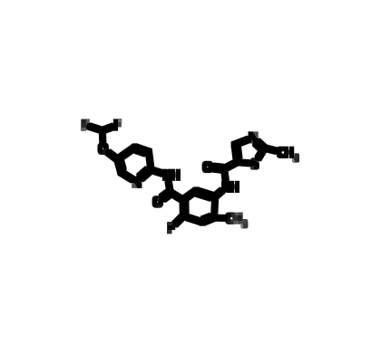 Cc1ncc(C(=O)Nc2cc(C(=O)Nc3ccc(OC(F)F)cn3)c(F)cc2C)s1